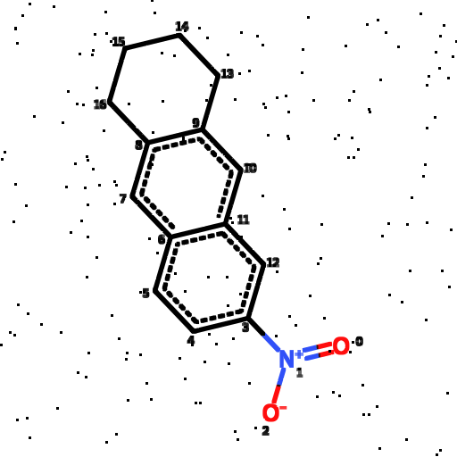 O=[N+]([O-])c1ccc2cc3c(cc2c1)CCCC3